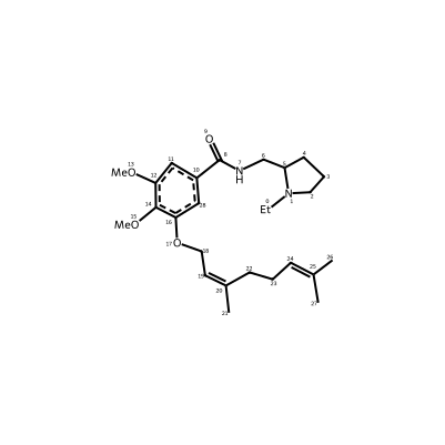 CCN1CCCC1CNC(=O)c1cc(OC)c(OC)c(OCC=C(C)CCC=C(C)C)c1